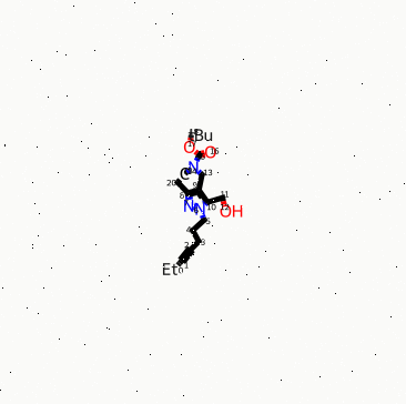 CCC#CCCCn1nc2c(c1CO)CN(C(=O)OC(C)(C)C)CC2